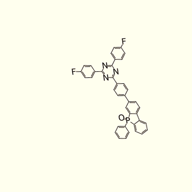 O=P1(c2ccccc2)c2ccccc2-c2ccc(-c3ccc(-c4nc(-c5ccc(F)cc5)nc(-c5ccc(F)cc5)n4)cc3)cc21